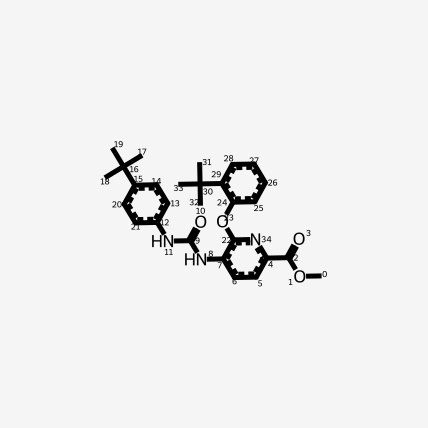 COC(=O)c1ccc(NC(=O)Nc2ccc(C(C)(C)C)cc2)c(Oc2ccccc2C(C)(C)C)n1